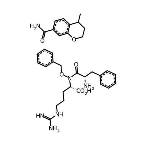 CC1CCOc2cc(C(N)=O)ccc21.N=C(N)NCCC[C@@H](C(=O)O)N(OCc1ccccc1)C(=O)[C@@H](N)Cc1ccccc1